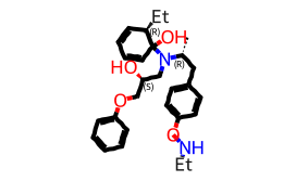 CCNOc1ccc(C[C@@H](C)N(C[C@H](O)COc2ccccc2)C2(O)C=CC=C[C@H]2CC)cc1